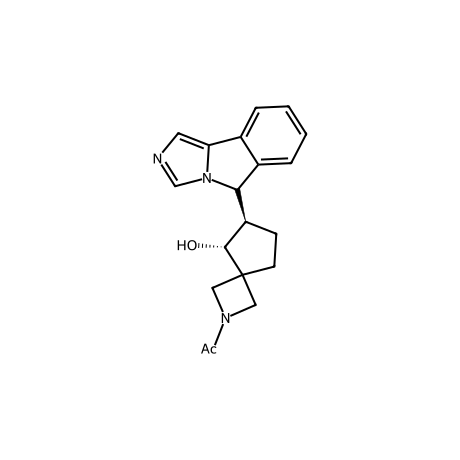 CC(=O)N1CC2(CC[C@H](C3c4ccccc4-c4cncn43)[C@H]2O)C1